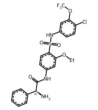 CCOc1cc(NC(=O)[C@@H](N)c2ccccc2)ccc1S(=O)(=O)Nc1ccc(Cl)c(OC(F)(F)F)c1